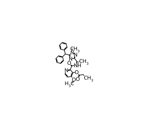 CCC(=O)Oc1c(OC)ccnc1C(=O)N[C@@H](C)c1nc(C(c2ccccc2)c2ccccc2)n(C)n1